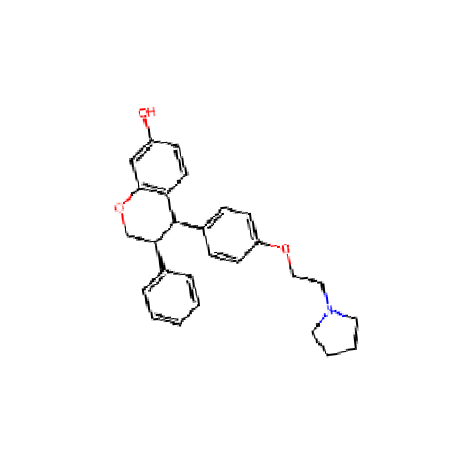 Oc1ccc2c(c1)OC[C@H](c1ccccc1)[C@@H]2c1ccc(OCCN2CCCC2)cc1